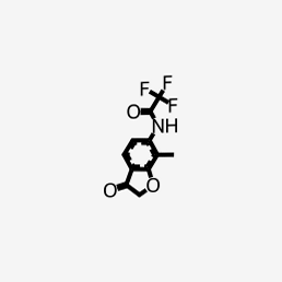 Cc1c(NC(=O)C(F)(F)F)ccc2c1OCC2=O